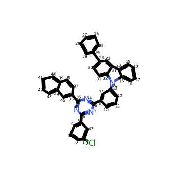 Clc1cccc(-c2nc(-c3cccc(-n4c5ccccc5c5cc(-c6ccccc6)ccc54)c3)nc(-c3ccc4ccccc4c3)n2)c1